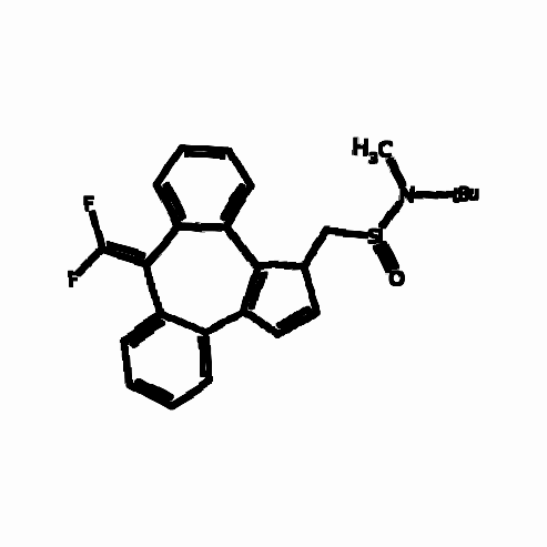 CN([Si](=O)CC1C=CC2=C1c1ccccc1C(=C(F)F)c1ccccc12)C(C)(C)C